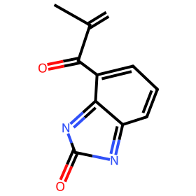 C=C(C)C(=O)c1cccc2c1=NC(=O)N=2